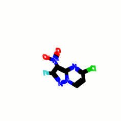 O=[N+]([O-])c1c(F)nn2ccc(Cl)nc12